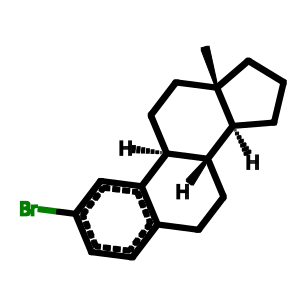 C[C@@]12CCC[C@H]1[C@@H]1CCc3ccc(Br)cc3[C@H]1CC2